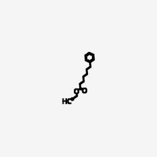 C#CCOC(=O)CCCCCCc1ccccc1